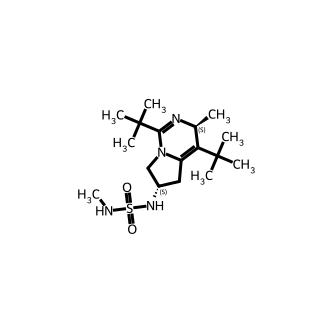 CNS(=O)(=O)N[C@H]1CC2=C(C(C)(C)C)[C@H](C)N=C(C(C)(C)C)N2C1